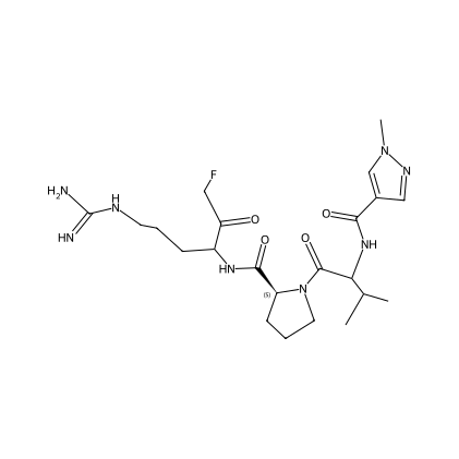 CC(C)C(NC(=O)c1cnn(C)c1)C(=O)N1CCC[C@H]1C(=O)NC(CCCNC(=N)N)C(=O)CF